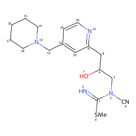 CSC(=N)N(C#N)CC(O)Cc1cc(CN2CCCCC2)ccn1